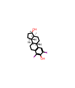 C[C@]12CC[C@@H]3c4cc(I)c(O)c(I)c4CC[C@H]3[C@@H]1CC[C@H]2O